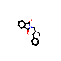 CC[C@@H](Cc1ccccc1)CN1C(=O)c2ccccc2C1=O